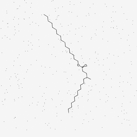 CCCCCCCCCCCCCCCCOC(=O)CCC(C)CCCCCCCCCCCC